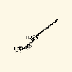 CCCCCCCCC/C=C/C=C/C=C/C=C/C=C/C(=O)Oc1ccc(/C=C/C(=O)CC(=O)/C=C/c2ccc(O)c(O)c2)cc1O